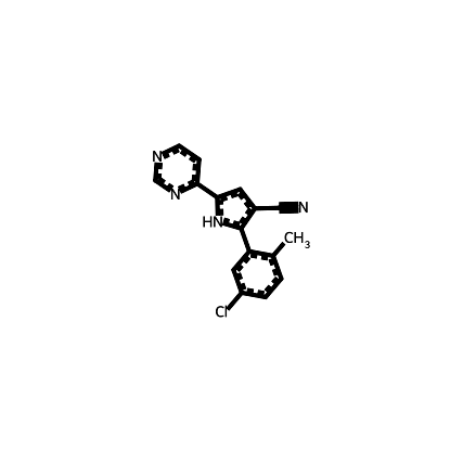 Cc1ccc(Cl)cc1-c1[nH]c(-c2ccncn2)cc1C#N